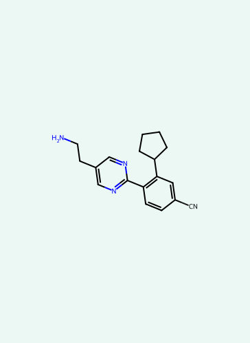 N#Cc1ccc(-c2ncc(CCN)cn2)c(C2CCCC2)c1